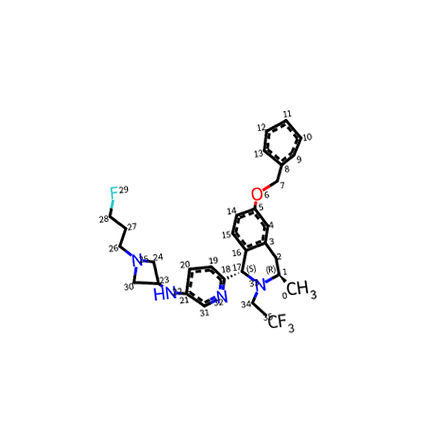 C[C@@H]1Cc2cc(OCc3ccccc3)ccc2[C@@H](c2ccc(NC3CN(CCCF)C3)cn2)N1CC(F)(F)F